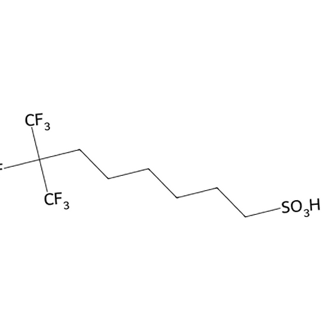 O=S(=O)(O)CCCCCCC(F)(C(F)(F)F)C(F)(F)F